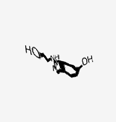 OCCNn1ncc2ccc(O)cc21